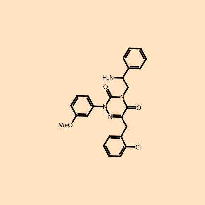 COc1cccc(-n2nc(Cc3ccccc3Cl)c(=O)n(CC(N)c3ccccc3)c2=O)c1